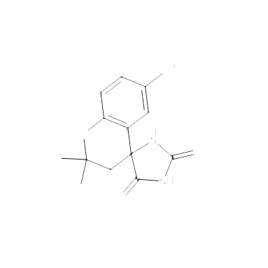 CC1(C)CC2(NC(=O)NC2=O)c2cc(F)ccc2O1